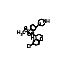 CS(=O)(=O)c1ccc(N2CCNCC2)cc1NC1CCOc2ccc(Cl)cc21